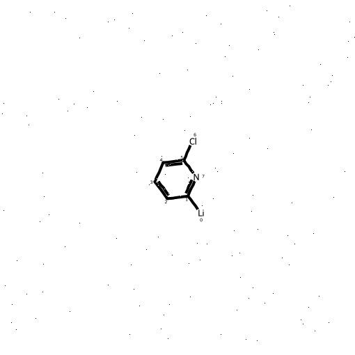 [Li][c]1cccc(Cl)n1